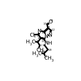 CCC(C)c1c(Cl)nc2c(C=O)cnn2c1NCCC(C)C